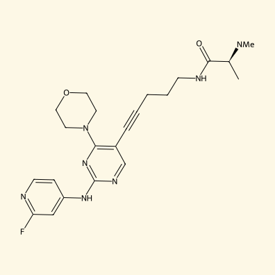 CN[C@@H](C)C(=O)NCCCC#Cc1cnc(Nc2ccnc(F)c2)nc1N1CCOCC1